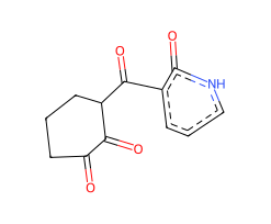 O=C1CCCC(C(=O)c2ccc[nH]c2=O)C1=O